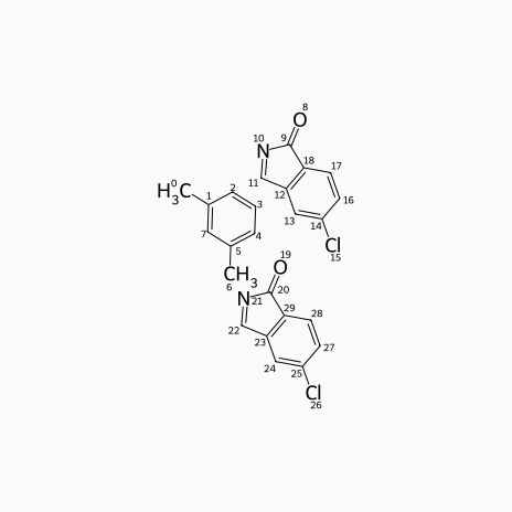 Cc1cccc(C)c1.O=C1N=Cc2cc(Cl)ccc21.O=C1N=Cc2cc(Cl)ccc21